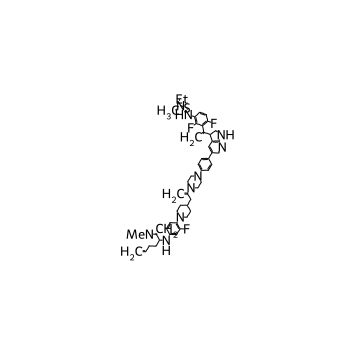 C=CCCC(Nc1ccc(N2CCC(CC(=C)N3CCN(c4ccc(-c5cnc6c(c5)C(C(=C)c5c(F)ccc(NSN(C)CC)c5F)CN6)cc4)CC3)CC2)c(F)c1)C(=C)NC